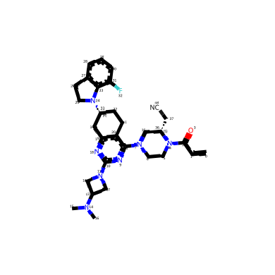 C=CC(=O)N1CCN(c2nc(N3CC(N(C)C)C3)nc3c2CC[C@@H](N2CCc4cccc(F)c42)C3)C[C@@H]1CC#N